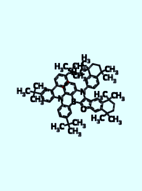 CC(C)(C)c1ccc2c(c1)B1c3oc4cc5c(cc4c3N(c3ccc4c(c3)C(C)(C)CCC4(C)C)c3cccc(c31)N2c1ccc(C(C)(C)C)cc1-c1ccc([Si](C)(C)C)cc1)C(C)(C)CCC5(C)C